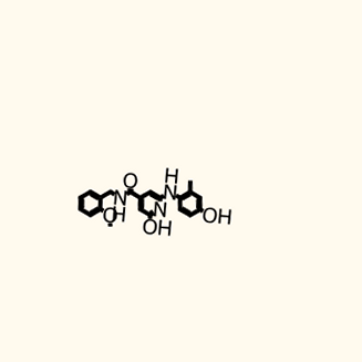 COc1ccccc1CNC(=O)c1cc(O)nc(Nc2ccc(O)cc2C)c1